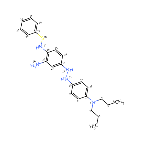 CCCN(CCC)c1ccc(NNc2ccc(NSc3ccccc3)c(N)c2)cc1